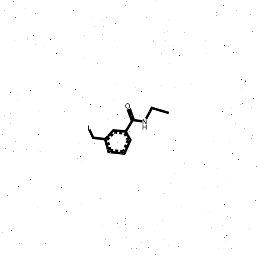 CCNC(=O)c1cccc(CI)c1